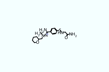 NC(=O)CNSc1ccc(/C(N)=N/N(N)CC2CCCCO2)cc1